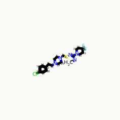 C=N/C(=N\SCN1CCN(CCc2ccc(Cl)cc2)CC1)N1CCC(F)(F)CC1